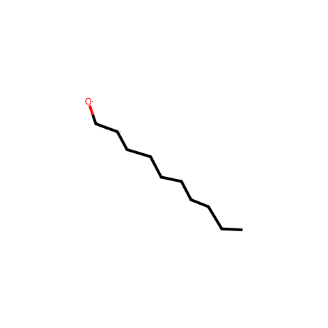 CCCCCCCC[CH]C[O]